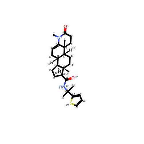 CN1C(=O)CC[C@@]2(C)C1=CC[C@@H]1[C@H]2CC[C@]2(C)C(C(=O)NC(C)(C)c3cccs3)CC[C@@H]12